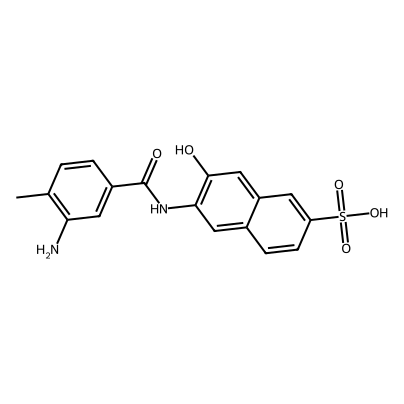 Cc1ccc(C(=O)Nc2cc3ccc(S(=O)(=O)O)cc3cc2O)cc1N